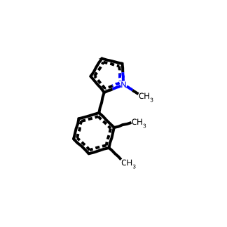 Cc1cccc(-c2c[c]cn2C)c1C